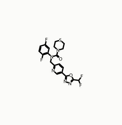 O=C(N1CCSCC1)N(Cc1ccc(-c2nnc(C(F)F)o2)cn1)c1cc(F)ccc1F